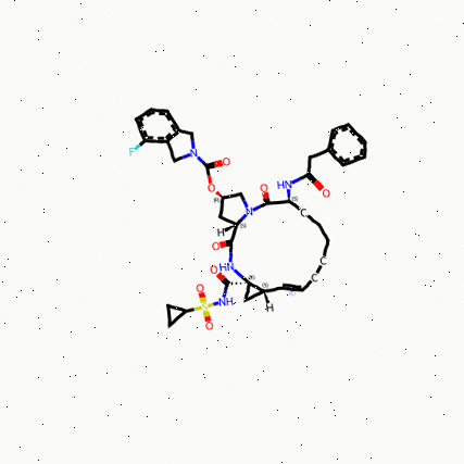 O=C(Cc1ccccc1)N[C@H]1CCCCC/C=C/[C@@H]2C[C@@]2(C(=O)NS(=O)(=O)C2CC2)NC(=O)[C@@H]2C[C@@H](OC(=O)N3Cc4cccc(F)c4C3)CN2C1=O